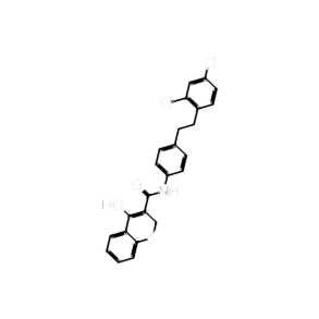 O=C(Nc1ccc(CCc2ccc(Cl)cc2Cl)cc1)C1=C(O)c2ccccc2SC1